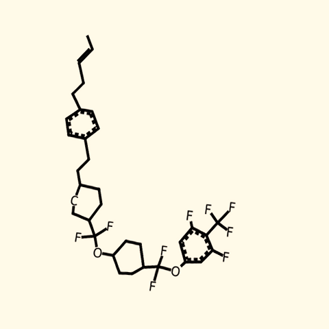 C/C=C/CCc1ccc(CCC2CCC(C(F)(F)OC3CCC(C(F)(F)Oc4cc(F)c(C(F)(F)F)c(F)c4)CC3)CC2)cc1